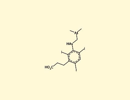 C[As](C)C[AsH]c1c(I)cc(I)c(CCC(=O)O)c1I